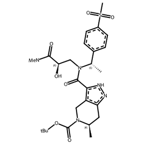 CNC(=O)[C@H](O)CN(C(=O)c1[nH]nc2c1CN(C(=O)OC(C)(C)C)[C@H](C)C2)[C@@H](C)c1ccc(S(C)(=O)=O)cc1